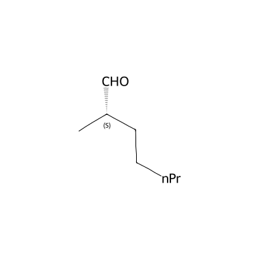 CCCCC[C@H](C)C=O